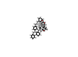 [2H]C([2H])([2H])C([2H])(N(C(=O)C[C@H](c1ccccc1)c1cc(COCc2ccccc2)ccc1OCc1ccccc1)C([2H])(C([2H])([2H])[2H])C([2H])([2H])[2H])C([2H])([2H])[2H]